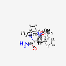 CO[C@@]1(c2ccnc(C(N)=O)c2)[C@@H]2CCC[C@H]1CN([C@H]1CC[C@H]1C)C2